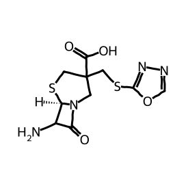 NC1C(=O)N2CC(CSc3nnco3)(C(=O)O)CS[C@H]12